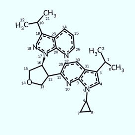 CC(C)c1cn(C2CC2)c2nc(C3COC[C@H]3n3nc(C(C)C)c4cccnc43)ccc12